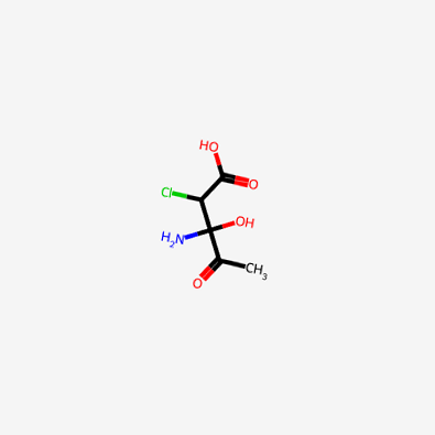 CC(=O)C(N)(O)C(Cl)C(=O)O